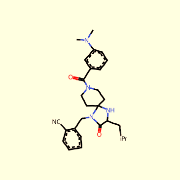 CC(C)CC1NC2(CCN(C(=O)c3cccc(N(C)C)c3)CC2)N(Cc2ccccc2C#N)C1=O